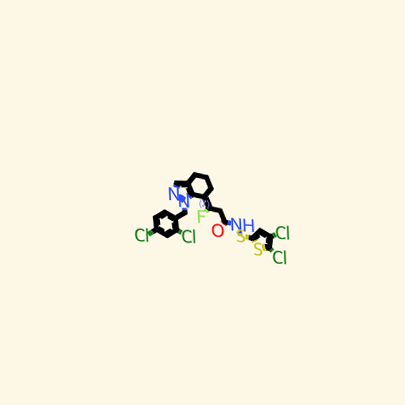 O=C(C/C(F)=C1\CCCc2cnn(Cc3ccc(Cl)cc3Cl)c21)NSc1cc(Cl)c(Cl)s1